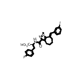 Cn1nc(C(=O)N[C@@H](Cc2ccc(F)cc2)C(=O)O)c2c1C(=Cc1cccc(F)c1)CCCC2